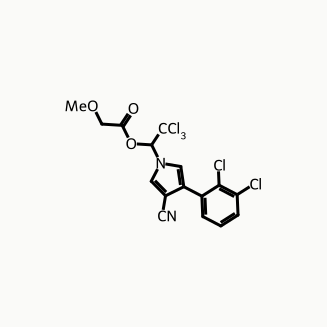 COCC(=O)OC(n1cc(C#N)c(-c2cccc(Cl)c2Cl)c1)C(Cl)(Cl)Cl